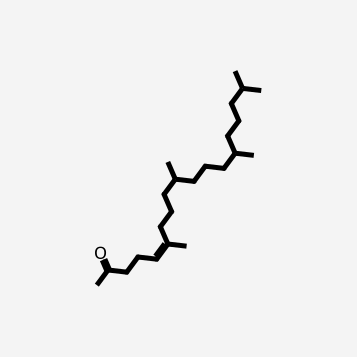 CC(=O)CCC=C(C)CCCC(C)CCCC(C)CCCC(C)C